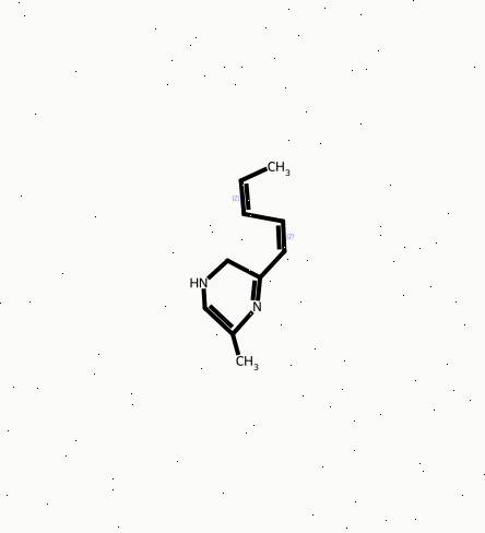 C/C=C\C=C/C1=NC(C)=CNC1